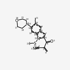 C=C(C#N)C(=O)c1cc2cc(C)c(N3CCOCC3)cc2n1SI